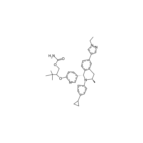 CCn1cc(-c2ccc3c(c2)C[C@@H](C)N(c2ccc(C4CC4)cc2)[C@@H]3c2ccc(OC(COC(N)=O)C(C)(C)C)nc2)cn1